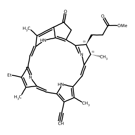 C#Cc1c(C)c2cc3nc(c4c5[nH]c(cc6nc(cc1[nH]2)C(C)=C6CC)c(C)c5C(=O)C4)[C@@H](CCC(=O)OC)[C@@H]3C